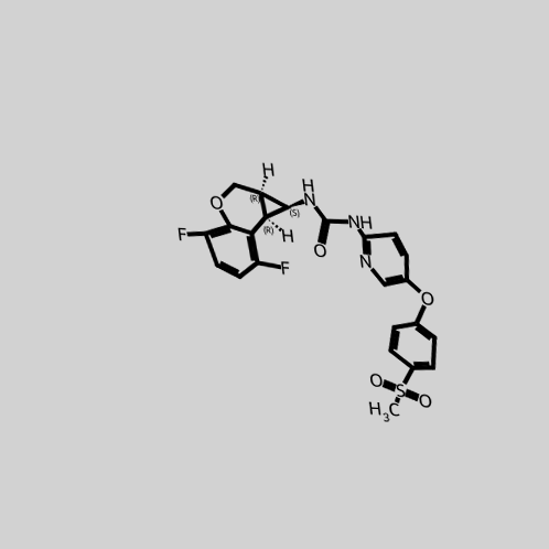 CS(=O)(=O)c1ccc(Oc2ccc(NC(=O)N[C@@H]3[C@@H]4COc5c(F)ccc(F)c5[C@@H]43)nc2)cc1